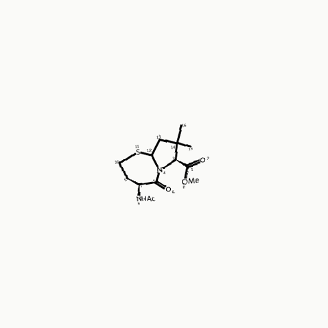 COC(=O)[C@H]1N2C(=O)[C@@H](NC(C)=O)CCSC2CC1(C)C